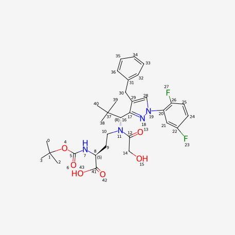 CC(C)(C)OC(=O)N[C@@H](CCN(C(=O)CO)[C@@H](c1nn(-c2cc(F)ccc2F)cc1Cc1ccccc1)C(C)(C)C)C(=O)O